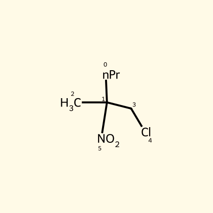 CCCC(C)(CCl)[N+](=O)[O-]